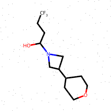 OC(CCC(F)(F)F)N1CC(C2CCOCC2)C1